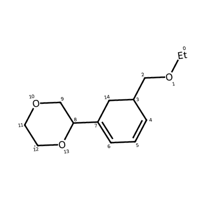 CCOCC1C=CC=C(C2COC[CH]O2)C1